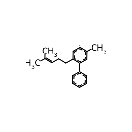 CC(C)=CCCc1c[c]c(C)cc1-c1ccccc1